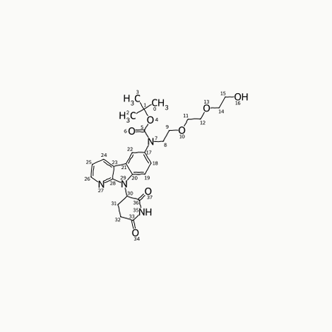 CC(C)(C)OC(=O)N(CCOCCOCCO)c1ccc2c(c1)c1cccnc1n2C1CCC(=O)NC1=O